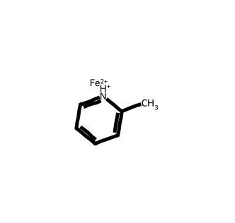 Cc1cccc[nH+]1.[Fe+2]